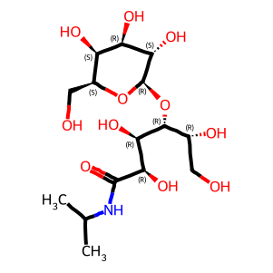 CC(C)NC(=O)[C@H](O)[C@@H](O)[C@H](O[C@H]1O[C@@H](CO)[C@@H](O)[C@@H](O)[C@@H]1O)[C@H](O)CO